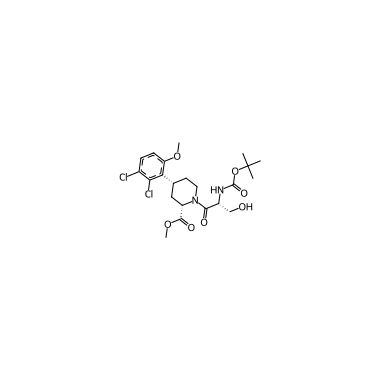 COC(=O)[C@@H]1C[C@H](c2c(OC)ccc(Cl)c2Cl)CCN1C(=O)[C@@H](CO)NC(=O)OC(C)(C)C